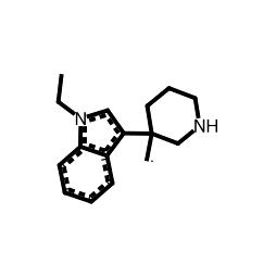 [CH2]C1(c2cn(CC)c3ccccc23)CCCNC1